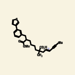 COC(=O)C(CCCCC(C)(C/C=C/C#CC(C)(C)C)C(=O)O)Cc1cccc(-c2ccsc2)c1